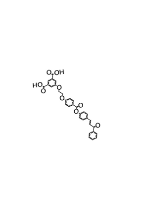 O=C(O)c1cc(OCCOc2ccc(C(=O)Oc3ccc(/C=C/C(=O)c4ccccc4)cc3)cc2)cc(C(=O)O)c1